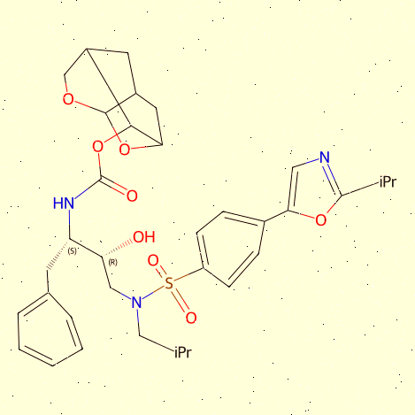 CC(C)CN(C[C@@H](O)[C@H](Cc1ccccc1)NC(=O)OC1C2COC3OC1CC3C2)S(=O)(=O)c1ccc(-c2cnc(C(C)C)o2)cc1